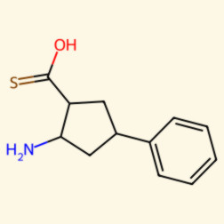 NC1CC(c2ccccc2)CC1C(O)=S